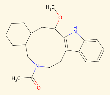 COC1CC2CCCCC2CN(C(C)=O)CCc2c1[nH]c1ccccc21